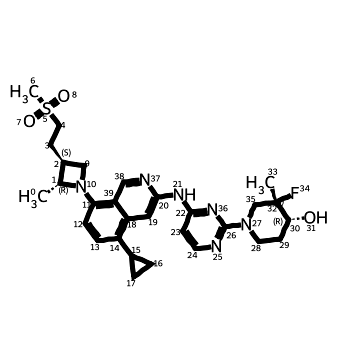 C[C@@H]1[C@@H](CCS(C)(=O)=O)CN1c1ccc(C2CC2)c2cc(Nc3ccnc(N4CC[C@@H](O)[C@@](C)(F)C4)n3)ncc12